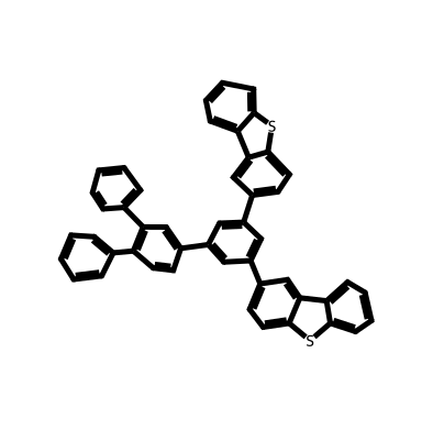 c1ccc(-c2ccc(-c3cc(-c4ccc5sc6ccccc6c5c4)cc(-c4ccc5sc6ccccc6c5c4)c3)cc2-c2ccccc2)cc1